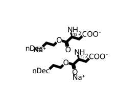 CCCCCCCCCCCCOC(=O)[C@@H](N)CC(=O)[O-].CCCCCCCCCCCCOC(=O)[C@@H](N)CC(=O)[O-].[Na+].[Na+]